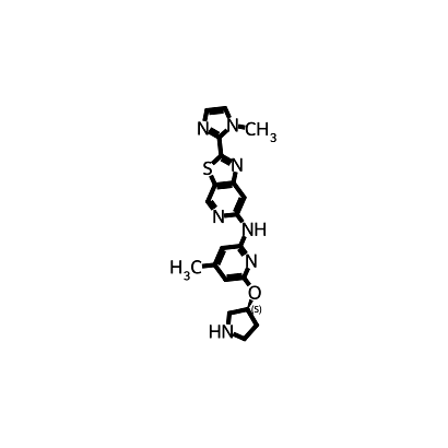 Cc1cc(Nc2cc3nc(-c4nccn4C)sc3cn2)nc(O[C@H]2CCNC2)c1